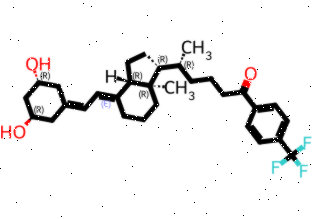 C[C@H](CCCC(=O)c1ccc(C(F)(F)F)cc1)[C@H]1CC[C@H]2/C(=C/C=C3C[C@@H](O)C[C@H](O)C3)CCC[C@]12C